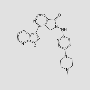 CN1CCN(c2ccc(NN3Cc4c(ccnc4-c4c[nH]c5ncccc45)C3=O)nc2)CC1